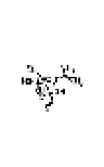 C=C(C)C(=O)O.CCSC(S)(S)CC(S)(S)C=S